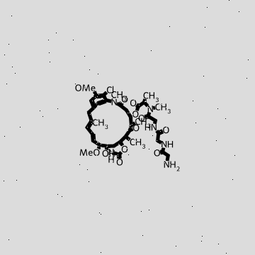 COc1cc2cc(c1Cl)N(C)C(=O)CC(OC(=O)C(C)N(C)C(=O)CNC(=O)CNC(=O)CN)C1(C)OC1C(C)C1CC(O)(NC(=O)O1)C(OC)/C=C/C=C(\C)C2